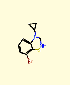 Brc1cccc2c1SNCN2C1CC1